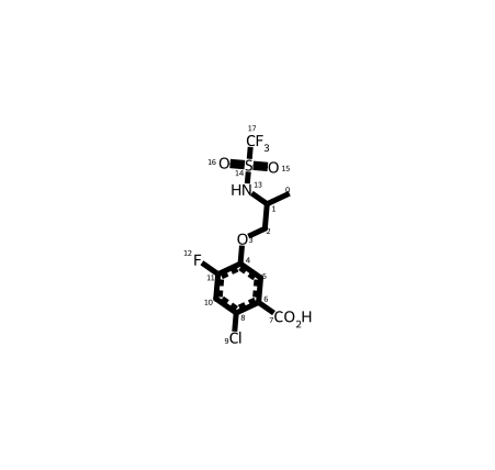 CC(COc1cc(C(=O)O)c(Cl)cc1F)NS(=O)(=O)C(F)(F)F